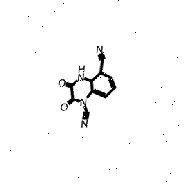 N#CC1C=CC=C2C1NC(=O)C(=O)N2C#N